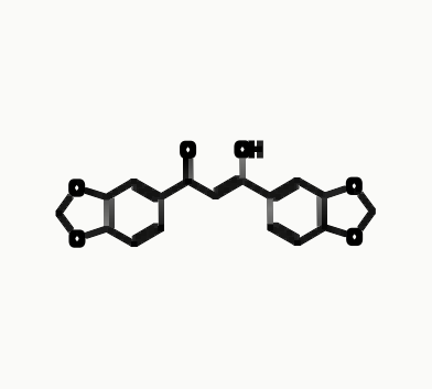 O=C(/C=C(\O)c1ccc2c(c1)OCO2)c1ccc2c(c1)OCO2